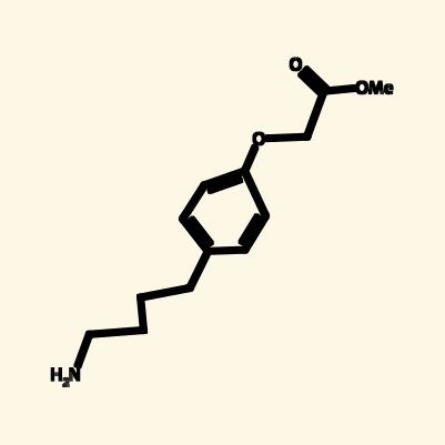 COC(=O)COc1ccc(CCCCN)cc1